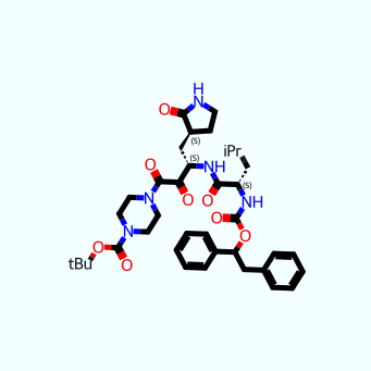 CC(C)C[C@H](NC(=O)OC(Cc1ccccc1)c1ccccc1)C(=O)N[C@@H](C[C@@H]1CCNC1=O)C(=O)C(=O)N1CCN(C(=O)OC(C)(C)C)CC1